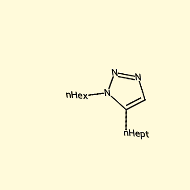 CCCCCCCc1cnnn1CCCCCC